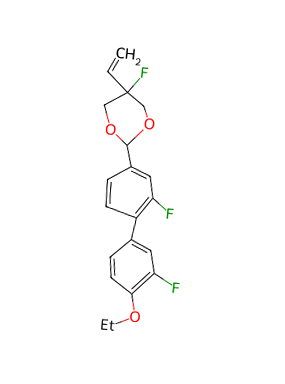 C=CC1(F)COC(c2ccc(-c3ccc(OCC)c(F)c3)c(F)c2)OC1